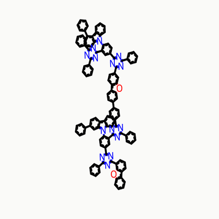 c1ccc(-c2ccc3c4ccccc4n(-c4ccc(-c5nc(-c6ccccc6)nc(-c6cccc7c6oc6ccccc67)n5)cc4-c4nc(-c5ccccc5)nc(-c5ccc(-c6ccc7c(c6)oc6cc(-c8nc(-c9ccccc9)nc(-c9ccc(-n%10c%11ccccc%11c%11c(-c%12ccccc%12)cccc%11%10)c(-c%10nc(-c%11ccccc%11)nc(-c%11ccccc%11)n%10)c9)n8)ccc67)cc5)n4)c3c2)cc1